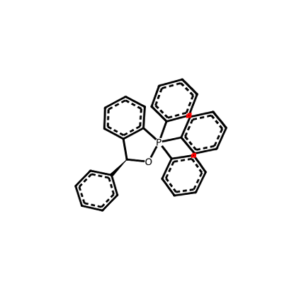 c1ccc([C@@H]2OP(c3ccccc3)(c3ccccc3)(c3ccccc3)c3ccccc32)cc1